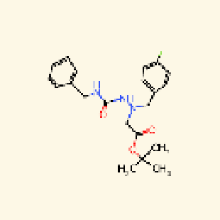 CC(C)(C)OC(=O)CN(Cc1ccc(F)cc1)NC(=O)NCc1ccccc1